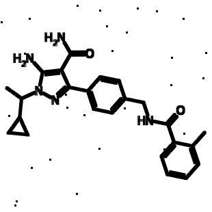 Cc1ccccc1C(=O)NCc1ccc(-c2nn(C(C)C3CC3)c(N)c2C(N)=O)cc1